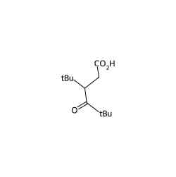 CC(C)(C)C(=O)C(CC(=O)O)C(C)(C)C